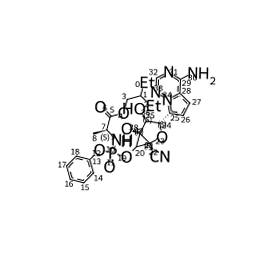 CCC(CC)COC(=O)[C@H](C)NP(=O)(Oc1ccccc1)OC1[C@@]2(C#N)O[C@@H](c3ccc4c(N)ncnn34)[C@H](O)[C@@]12O